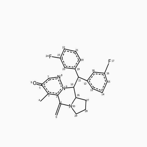 C=C1c2c(C)c(=O)cnn2C(C(c2cccc(F)c2)c2cccc(F)c2)C2CCCN12